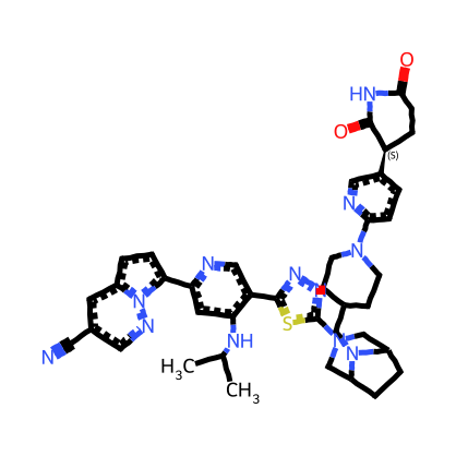 CC(C)Nc1cc(-c2ccc3cc(C#N)cnn23)ncc1-c1nnc(N2CC3CCC(C2)N3CC2CCN(c3ccc([C@@H]4CCC(=O)NC4=O)cn3)CC2)s1